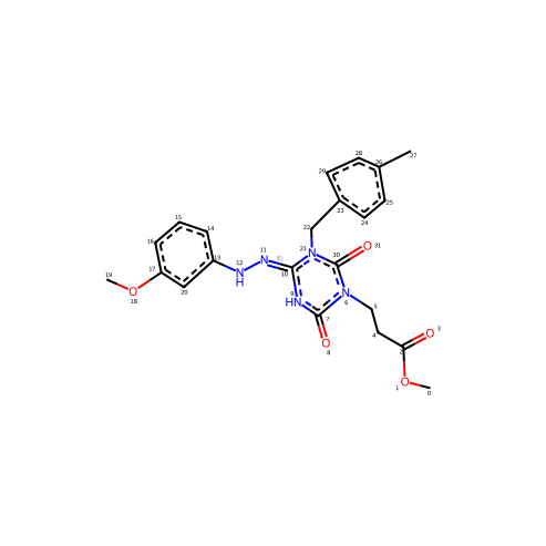 COC(=O)CCn1c(=O)[nH]/c(=N\Nc2cccc(OC)c2)n(Cc2ccc(C)cc2)c1=O